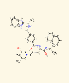 CC(C)CN(CCO)CCC[C@H](NC(=O)c1ccc(CNC(C)c2nc3ccccc3[nH]2)cc1)C(=O)N[C@@H](C)c1cccc2ccccc12